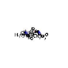 Cc1cc(-c2ccc(-c3ccccc3C(C)(C)c3c(C)c(C)c(-c4ccccc4-c4ccc(-c5cc(C(C)(C)C)ccn5)cc4)c(C)c3C)cc2)ncc1-c1cccc(-c2ccccc2)c1